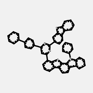 c1ccc(-c2ccc(-c3cc(-c4cccc5c4sc4c5ccc5c6ccccc6n(-c6ccccc6)c54)nc(-c4ccc5c(c4)sc4ccccc45)n3)cc2)cc1